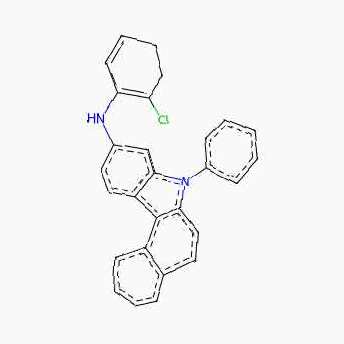 ClC1=C(Nc2ccc3c4c5ccccc5ccc4n(-c4ccccc4)c3c2)C=CCC1